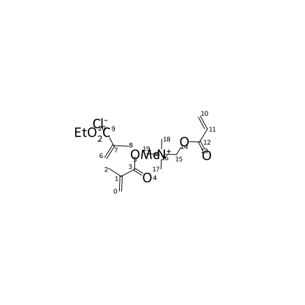 C=C(C)C(=O)OC.C=C(C)C(=O)OCC.C=CC(=O)OC[N+](C)(C)C.[Cl-]